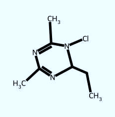 CCC1N=C(C)N=C(C)N1Cl